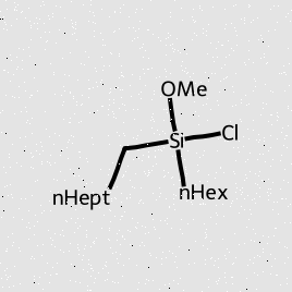 CCCCCCCC[Si](Cl)(CCCCCC)OC